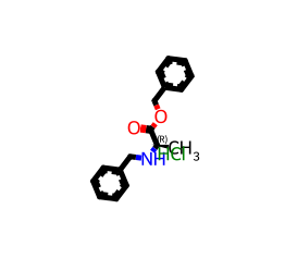 C[C@@H](NCc1ccccc1)C(=O)OCc1ccccc1.Cl